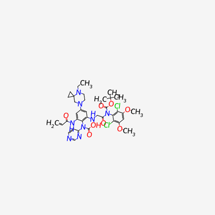 C=CC(=O)Nc1cc(N2CCN(CC)C3(CC3)C2)cc(NCC(=O)N(C(=O)OC(C)(C)C)c2c(Cl)c(OC)cc(OC)c2Cl)c1N(C(=O)O)c1ccncn1